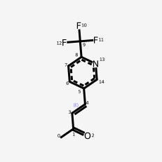 CC(=O)/C=C/c1ccc(C(F)(F)F)nc1